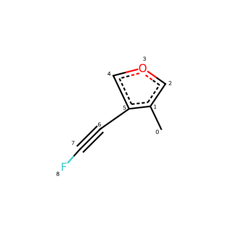 Cc1cocc1C#CF